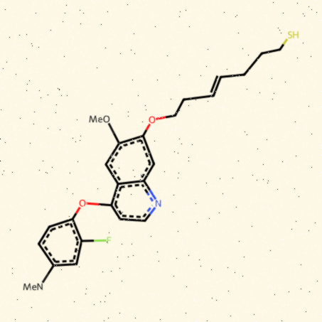 CNc1ccc(Oc2ccnc3cc(OCC/C=C/CCCS)c(OC)cc23)c(F)c1